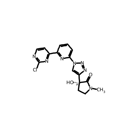 CN1CC[C@@](O)(c2cn(-c3cccc(-c4ccnc(Cl)n4)n3)nn2)C1=O